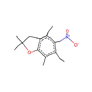 Cc1c(C)c([N+](=O)[O-])c(C)c2c1OC(C)(C)C2